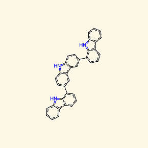 c1ccc2c(c1)[nH]c1c(-c3ccc4[nH]c5ccc(-c6cccc7c6[nH]c6ccccc67)cc5c4c3)cccc12